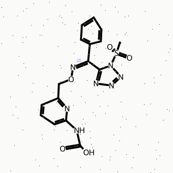 CS(=O)(=O)n1nnnc1/C(=N\OCc1cccc(NC(=O)O)n1)c1ccccc1